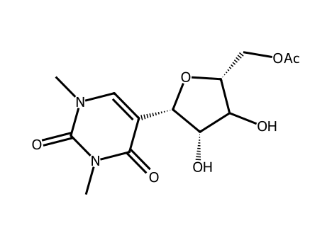 CC(=O)OC[C@H]1O[C@@H](c2cn(C)c(=O)n(C)c2=O)[C@@H](O)C1O